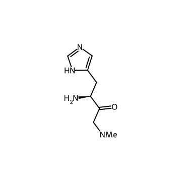 CNCC(=O)[C@@H](N)Cc1cnc[nH]1